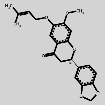 COc1cc2c(cc1OCC=C(C)C)C(=O)C[C@@H](c1ccc3c(c1)OCO3)O2